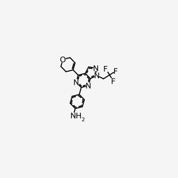 Nc1ccc(-c2nc(C3=CCOCC3)c3cnn(CC(F)(F)F)c3n2)cc1